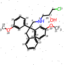 O[C@@H](CCl)CNCC(Cc1ccccc1)(c1cccc(OC(F)(F)F)c1)c1cccc(OC(F)(F)F)c1